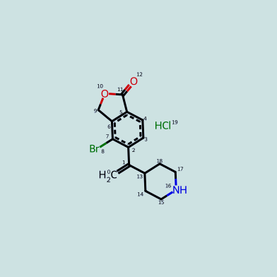 C=C(c1ccc2c(c1Br)COC2=O)C1CCNCC1.Cl